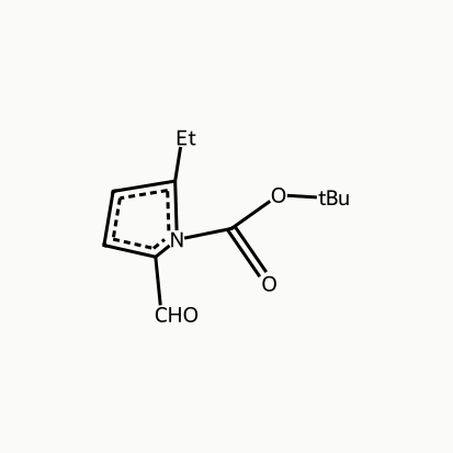 CCc1ccc(C=O)n1C(=O)OC(C)(C)C